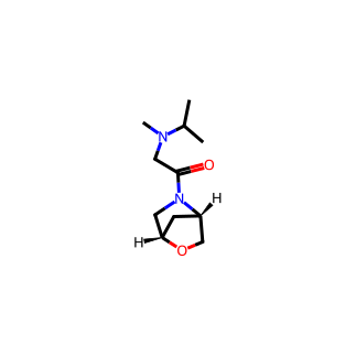 CC(C)N(C)CC(=O)N1C[C@@H]2C[C@H]1CO2